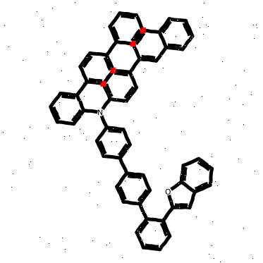 c1ccc(-c2ccc(-c3ccccc3N(c3ccc(-c4ccc(-c5ccccc5-c5cc6ccccc6o5)cc4)cc3)c3ccc(-c4ccc5ccccc5c4)cc3)cc2)cc1